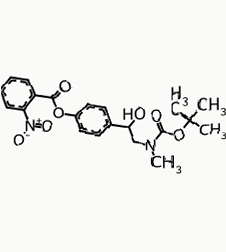 CN(CC(O)c1ccc(OC(=O)c2ccccc2[N+](=O)[O-])cc1)C(=O)OC(C)(C)C